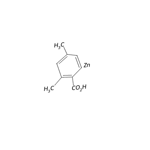 Cc1ccc(C(=O)O)c(C)c1.[Zn]